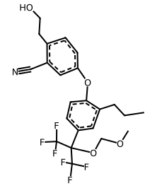 CCCc1cc(C(OCOC)(C(F)(F)F)C(F)(F)F)ccc1Oc1ccc(CCO)c(C#N)c1